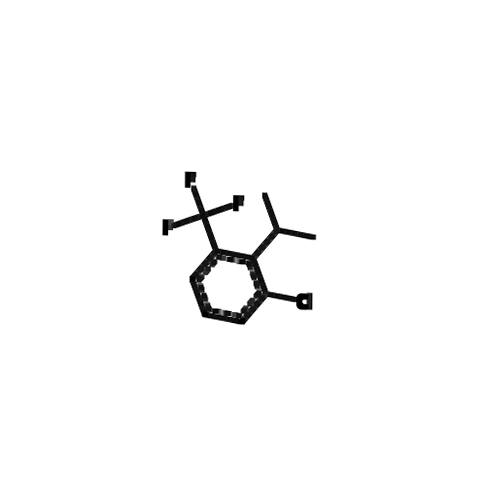 CC(C)c1c(Cl)cccc1C(F)(F)F